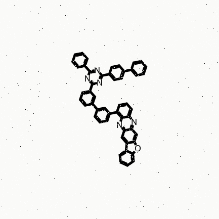 c1ccc(-c2ccc(-c3nc(-c4ccccc4)nc(-c4cccc(-c5cccc(-c6cccc7nc8cc9oc%10ccccc%10c9cc8nc67)c5)c4)n3)cc2)cc1